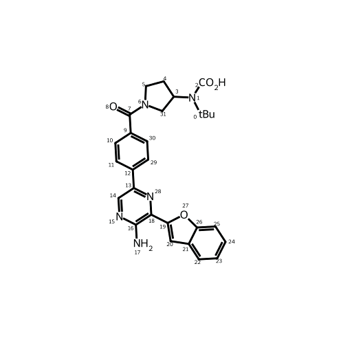 CC(C)(C)N(C(=O)O)C1CCN(C(=O)c2ccc(-c3cnc(N)c(-c4cc5ccccc5o4)n3)cc2)C1